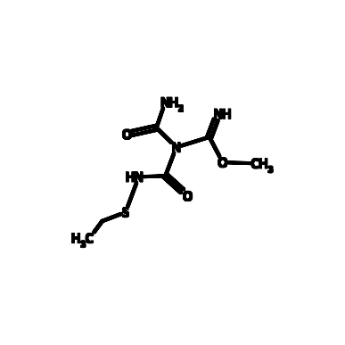 CCSNC(=O)N(C(=N)OC)C(N)=O